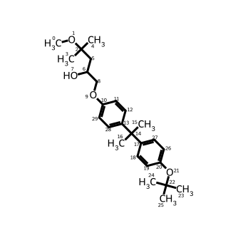 COC(C)(C)CC(O)COc1ccc(C(C)(C)c2ccc(OC(C)(C)C)cc2)cc1